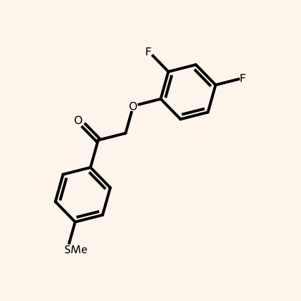 CSc1ccc(C(=O)COc2ccc(F)cc2F)cc1